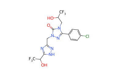 O=c1n(Cc2n[nH]c(C(O)C(F)(F)F)n2)nc(-c2ccc(Cl)cc2)n1CC(O)C(F)(F)F